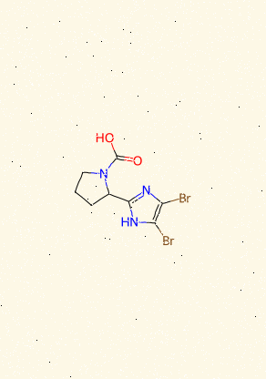 O=C(O)N1CCCC1c1nc(Br)c(Br)[nH]1